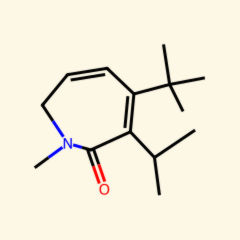 CC(C)C1=C(C(C)(C)C)C=CCN(C)C1=O